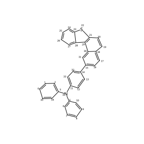 c1ccc(N(c2ccccc2)c2ccc(-c3ccc4ccc5sc6ccccc6c5c4c3)cc2)cc1